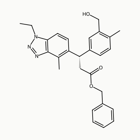 CCn1nnc2c(C)c([C@@H](CC(=O)OCc3ccccc3)c3ccc(C)c(CO)c3)ccc21